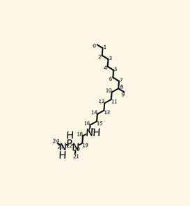 CCCCCCCCC(C)CCCCCCCNCCN(C)PNC